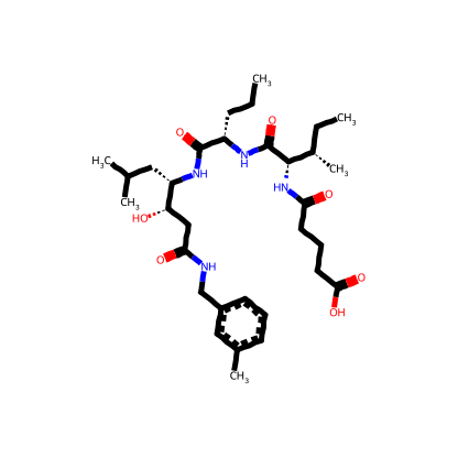 CCC[C@H](NC(=O)[C@@H](NC(=O)CCCC(=O)O)[C@@H](C)CC)C(=O)N[C@@H](CC(C)C)[C@@H](O)CC(=O)NCc1cccc(C)c1